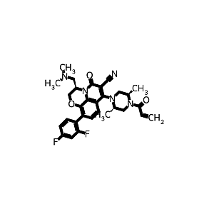 C=CC(=O)N1C[C@H](C)N(c2c(C#N)c(=O)n3c4c(c(-c5ccc(F)cc5F)ccc24)OC[C@H]3CN(C)C)C[C@H]1C